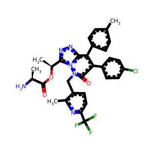 Cc1ccc(-c2c(-c3ccc(Cl)cc3)c(=O)n(Cc3ccc(C(F)(F)F)nc3C)n3c([C@H](C)OC(=O)[C@H](C)N)nnc23)cc1